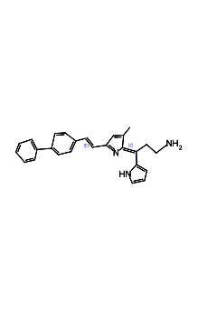 CC1=CC(/C=C/c2ccc(-c3ccccc3)cc2)=NC/1=C(/CCN)c1ccc[nH]1